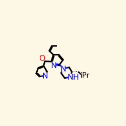 C/C=C\c1ccc(N2CCN[C@@H](CC(C)C)C2)nc1C(=O)c1cccnc1